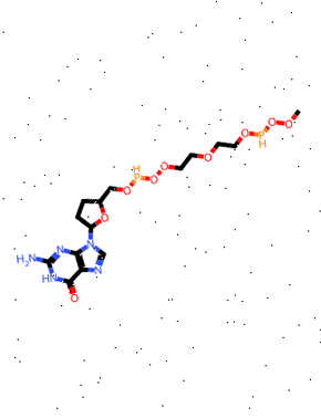 COOPOCCOCCOOPOCC1CCC(n2cnc3c(=O)[nH]c(N)nc32)O1